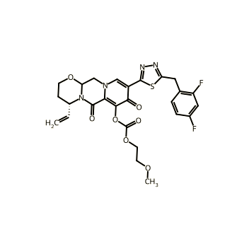 C=C[C@@H]1CCOC2Cn3cc(-c4nnc(Cc5ccc(F)cc5F)s4)c(=O)c(OC(=O)OCCOC)c3C(=O)N21